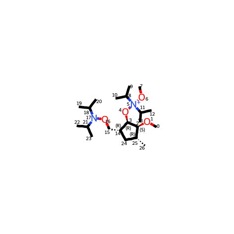 CO[C@@H]1[C@H](O[N+](OC)(C(C)C)C(C)C)[C@@H](CON(C(C)C)C(C)C)C[C@H]1C